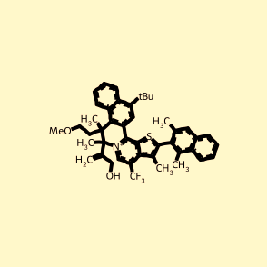 C=C(CO)C1(C)[n+]2cc(C(F)(F)F)c3c(C)c(-c4c(C)cc5ccccc5c4C)sc3c2-c2cc(C(C)(C)C)c3ccccc3c2C1(C)CCOC